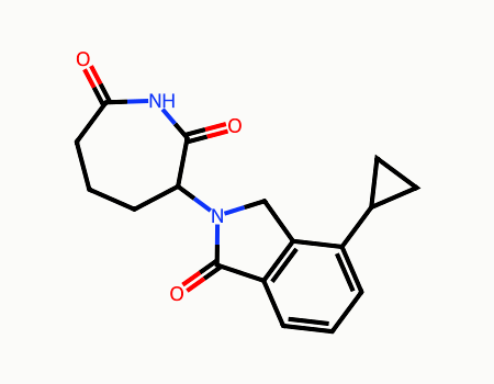 O=C1CCCC(N2Cc3c(cccc3C3CC3)C2=O)C(=O)N1